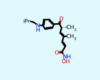 CC(/C=C/C(=O)NO)=C\[C@@H](C)C(=O)c1ccc(NCC(C)C)cc1